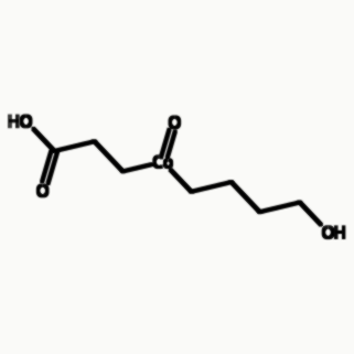 O=C(O)C[CH2][Co](=[O])[CH2]CCCO